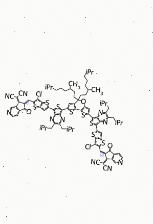 CC(C)CCCC(C)CCC1(CCC(C)CCCC(C)C)Oc2cc(-c3sc(-c4cc5sc(/C=C6\C(=O)c7ccncc7C6=C(C#N)C#N)c(Cl)c5s4)c4nc(CC(C)C)c(CC(C)C)nc34)sc2-c2sc(-c3sc(-c4cc5sc(/C=C6\C(=O)c7ccncc7C6=C(C#N)C#N)c(Cl)c5s4)c4nc(CC(C)C)c(CC(C)C)nc34)cc21